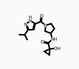 CC(C)c1cc(C(=O)N2CCC(NC(=O)C3(O)CC3)C2)[nH]n1